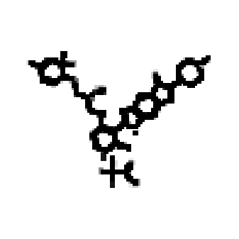 CC1=CC(C)(F)C(OC[C@H](O)CNc2cc[nH]c(=O)c2-c2nc3cc4c(cc3[nH]2)CN(C2CCN(C)CC2)C4=O)C=C1.O=C(O)C(F)(F)F